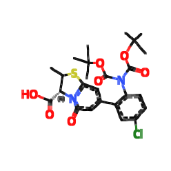 CC1Sc2cc(-c3cc(Cl)ccc3N(C(=O)OC(C)(C)C)C(=O)OC(C)(C)C)cc(=O)n2[C@@H]1C(=O)O